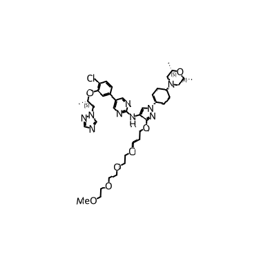 COCCOCCOCCOCCCOc1nn([C@H]2CC[C@H](N3C[C@@H](C)O[C@@H](C)C3)CC2)cc1Nc1ncc(-c2ccc(Cl)c(O[C@@H](C)Cn3cncn3)c2)cn1